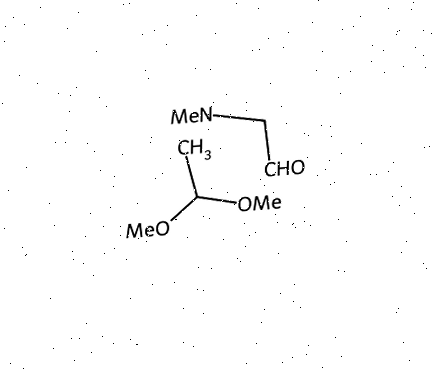 CNCC=O.COC(C)OC